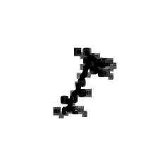 C=C(C)C(=O)OCC(O)COCCC[Si](O[SiH2]C)(O[SiH2]C)O[SiH2]C